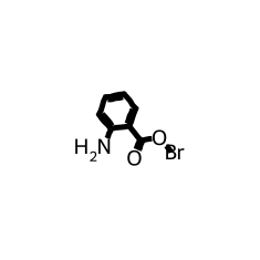 Nc1ccccc1C(=O)OBr